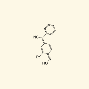 CCC1=CC(=C(\C#N)c2ccccc2)/C=CC/1=N/O